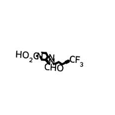 O=Cc1c2c(nn1CCCC#CC(F)(F)F)CCN(C(=O)O)C2